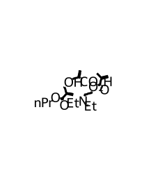 C=C(C)C(=O)O.C=C(C)C(=O)OCCN(CC)CC.C=C(CO)C(=O)OCCC